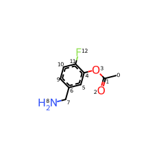 CC(=O)Oc1cc(CN)ccc1F